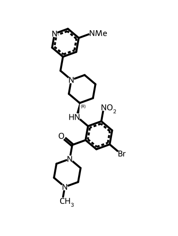 CNc1cncc(CN2CCC[C@@H](Nc3c(C(=O)N4CCN(C)CC4)cc(Br)cc3[N+](=O)[O-])C2)c1